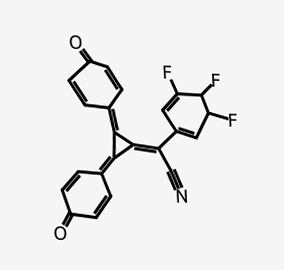 N#CC(C1=CC(F)C(F)C(F)=C1)=C1C(=C2C=CC(=O)C=C2)C1=C1C=CC(=O)C=C1